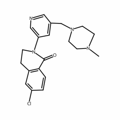 CN1CCN(Cc2cncc(N3CCc4cc(Cl)ccc4C3=O)c2)CC1